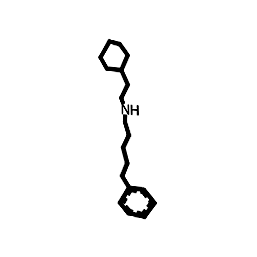 c1ccc(CCCCCNCCC2CCCCC2)cc1